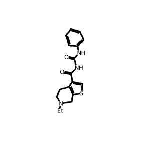 CCN1CCc2c(C(=O)NC(=O)Nc3ccccc3)csc2C1